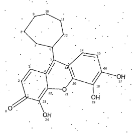 O=c1ccc2c(C3CCCCCC3)c3ccc(O)c(O)c3oc-2c1O